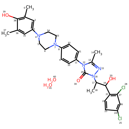 Cc1cc(N2CCN(c3ccc(-n4c(C)nn(C(C)C(O)c5ccc(Cl)cc5Cl)c4=O)cc3)CC2)cc(C)c1O.O.O